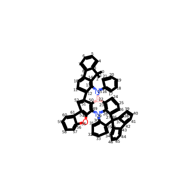 CC1(C)c2ccccc2-c2ccc3c(c21)N(c1ccccc1)B1c2cccc4c2N(c2ccccc2C42c4ccccc4-c4ccccc42)c2c1c-3cc1c2oc2ccccc21